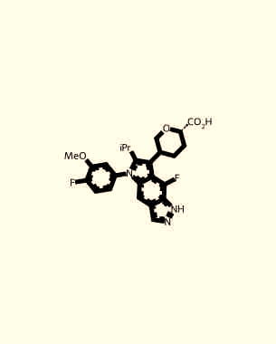 COc1cc(-n2c(C(C)C)c(C3CC[C@@H](C(=O)O)OC3)c3c(F)c4[nH]ncc4cc32)ccc1F